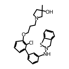 CC1(O)CCN(CCCOc2cccc(-c3cccc(NN4Cc5ccccc5S4)c3)c2Cl)C1